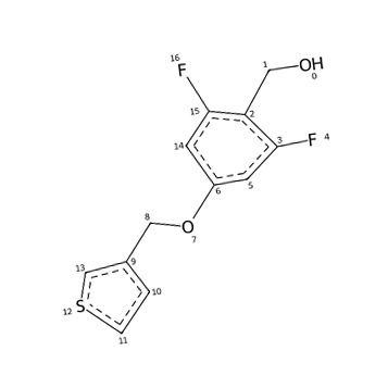 OCc1c(F)cc(OCc2ccsc2)cc1F